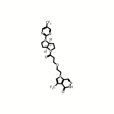 O=C(CCOCCn1cc(C(F)(F)F)c2c(=O)[nH]ncc21)N1CC[C@H]2[C@@H]1CCN2c1ncc(C(F)(F)F)cn1